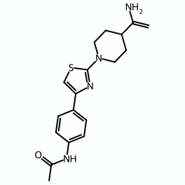 C=C(N)C1CCN(c2nc(-c3ccc(NC(C)=O)cc3)cs2)CC1